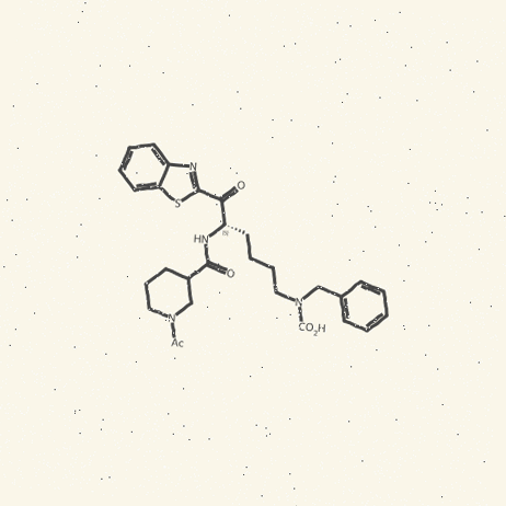 CC(=O)N1CCCC(C(=O)N[C@@H](CCCCN(Cc2ccccc2)C(=O)O)C(=O)c2nc3ccccc3s2)C1